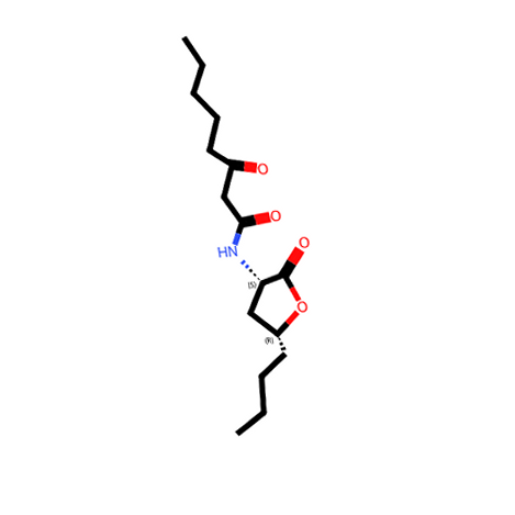 CCCCCC(=O)CC(=O)N[C@H]1C[C@@H](CCCC)OC1=O